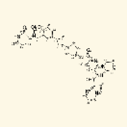 CN(Cc1cc(N2CC(N3CCC(N4Cc5cc(NC(=O)c6cnn7cccnc67)c(N6CCOCC6)nc5C4=O)CC3)C2)ccc1C=O)C1CCC(=O)NC1=O